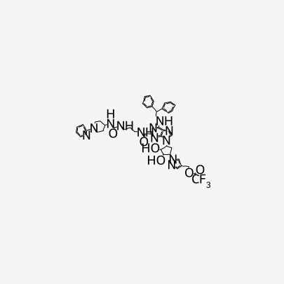 O=C(NCCCNC(=O)c1nc(NCC(c2ccccc2)c2ccccc2)c2ncn([C@@H]3C[C@H](n4cc(COC(=O)C(F)(F)F)cn4)[C@@H](O)[C@H]3O)c2n1)NC1CCN(c2ccccn2)CC1